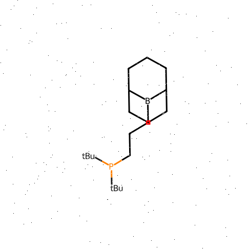 CC(C)(C)P(CCCB1C2CCCC1CCC2)C(C)(C)C